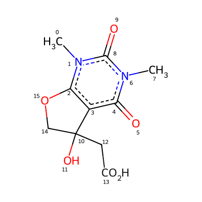 Cn1c2c(c(=O)n(C)c1=O)C(O)(CC(=O)O)CO2